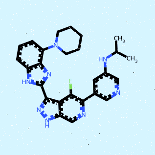 CC(C)Nc1cncc(-c2ncc3[nH]nc(-c4nc5c(N6CCCCC6)cccc5[nH]4)c3c2F)c1